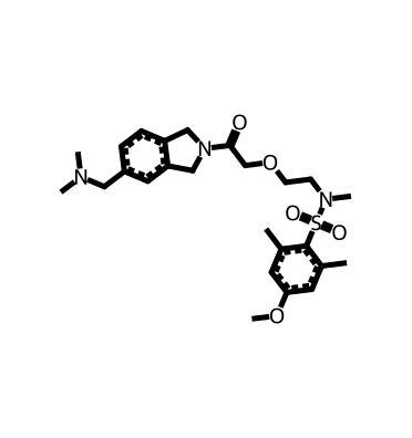 COc1cc(C)c(S(=O)(=O)N(C)CCOCC(=O)N2Cc3ccc(CN(C)C)cc3C2)c(C)c1